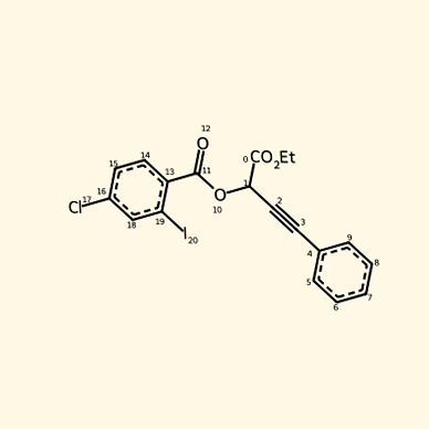 CCOC(=O)C(C#Cc1ccccc1)OC(=O)c1ccc(Cl)cc1I